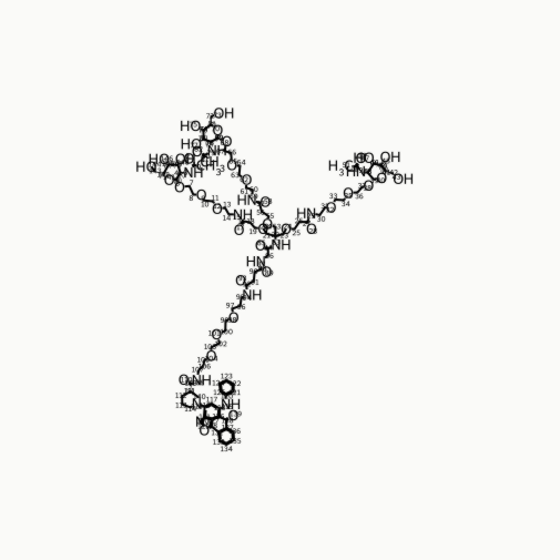 CC(=O)N[C@H]1[C@H](OCCOCCOCCNC(=O)CCOCC(COCCC(=O)NCCOCCOCCOC2O[C@H](CO)[C@H](O)[C@H](O)[C@H]2NC(C)=O)(COCCC(=O)NCCOCCOCCO[C@@H]2O[C@H](CO)[C@H](O)[C@H](O)[C@H]2NC(C)=O)NC(=O)CNC(=O)CCC(=O)NCCCOCCOCCOCCCNC(=O)[C@H]2CCCN(c3cc(Nc4ccccc4)c4c5c(onc35)-c3ccccc3C4=O)C2)O[C@H](CO)[C@H](O)[C@@H]1O